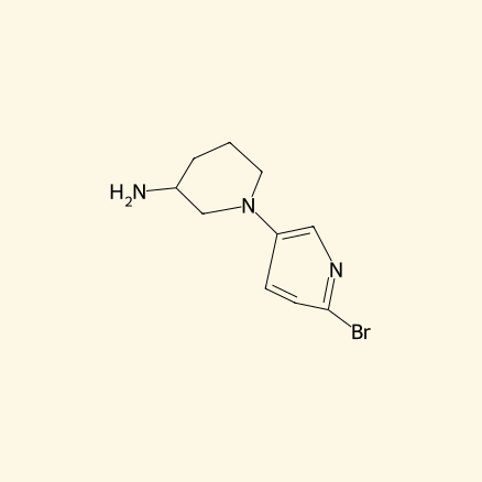 NC1CCCN(c2ccc(Br)nc2)C1